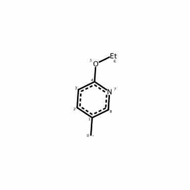 [CH2]c1ccc(OCC)nc1